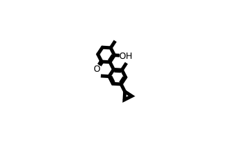 Cc1cc(C2CC2)cc(C)c1C1=C(O)C(C)CCC1=O